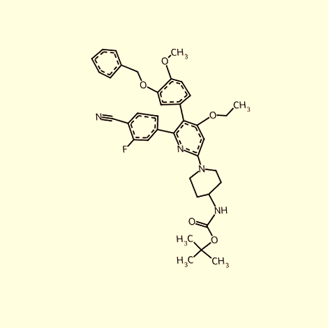 CCOc1cc(N2CCC(NC(=O)OC(C)(C)C)CC2)nc(-c2ccc(C#N)c(F)c2)c1-c1ccc(OC)c(OCc2ccccc2)c1